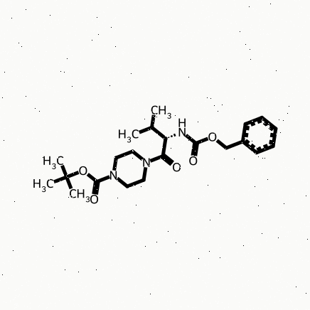 CC(C)[C@H](NC(=O)OCc1ccccc1)C(=O)N1CCN(C(=O)OC(C)(C)C)CC1